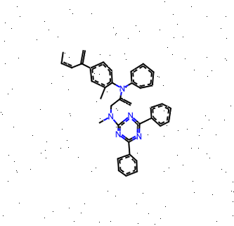 C=C(/C=C\C)c1ccc(N(C(=C)CN(C)c2nc(-c3ccccc3)nc(-c3ccccc3)n2)c2ccccc2)c(C)c1